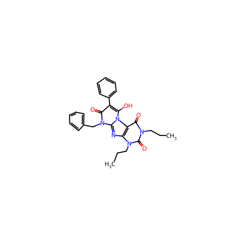 CCCn1c(=O)c2c(nc3n(Cc4ccccc4)c(=O)c(-c4ccccc4)c(O)n23)n(CCC)c1=O